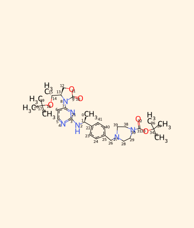 C[C@H](Nc1nccc(N2C(=O)OC[C@@H]2[C@@H](C)OC(C)(C)C)n1)c1ccc(CN2CCN(C(=O)OC(C)(C)C)CC2)cc1